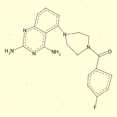 Nc1nc(N)c2c(N3CCN(C(=O)c4ccc(F)cc4)CC3)cccc2n1